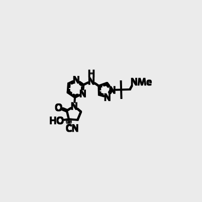 CNCC(C)(C)n1cc(Nc2nccc(N3CC[C@](O)(C#N)C3=O)n2)cn1